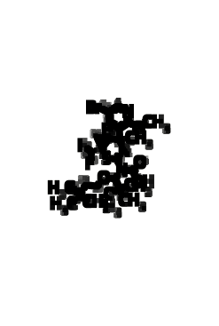 COc1ncc(Br)cc1[C@@]1(C)N=C(N(C(=O)O)C(OCC[Si](C)(C)C)C(C)(C)C)S[C@@]2(C(F)F)C[C@@H]12